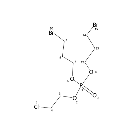 O=P(OCCCl)(OCCCBr)OCCCBr